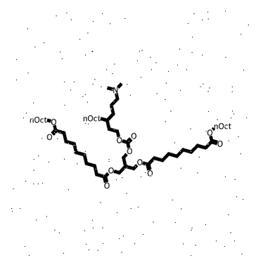 CCCCCCCCOC(=O)CCCCCCCCC(=O)OCC(COC(=O)CCCCCCCCC(=O)OCCCCCCCC)COC(=O)OCCC(CCCCCCCC)CCCN(C)C